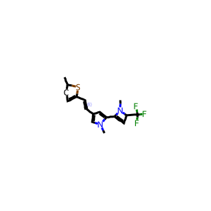 CC1CC=C(/C=C/c2cc(C3=CC(C(F)(F)F)N3C)n(C)c2)S1